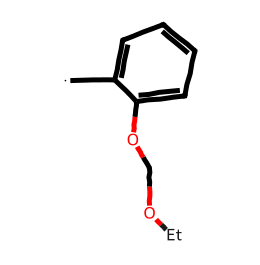 [CH2]c1ccccc1OCOCC